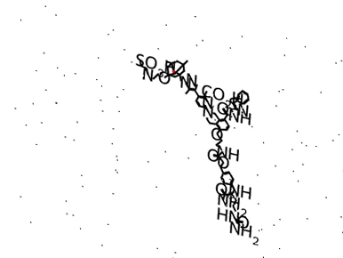 Cc1c(-c2ccc(N3CCc4c(OCCNC(=O)OCc5ccc(N[C@@H](CCCNC(N)=O)C(N)=O)cc5)ccc(C(=O)Nc5nc6ccccc6s5)c4C3)nc2C(=O)O)cnn1CC12CC3(C)CC(C)(C1)CC(OCCN(C)CCS(=O)(=O)O)(C3)C2